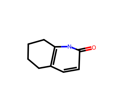 O=C1C=CC2=C(CCCC2)[N]1